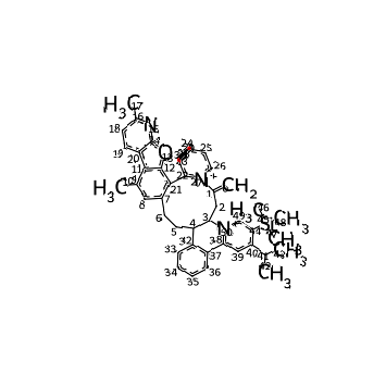 C=C1CC2C(CCc3cc(C)c4c(oc5nc(C)ccc54)c3-c3c4c(cc[n+]31)CCCC4)c1ccccc1-c1cc(C(C)C)c([Si](C)(C)C)c[n+]12